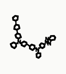 c1ccc(-c2ccc(-c3ccc(N(c4ccccc4)c4ccc(-c5ccc(N(c6ccccc6)c6ccc(-n7nc8ccccc8n7)cc6)cc5)cc4)cc3)cc2)cc1